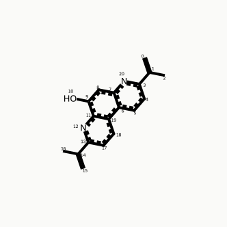 C=C(C)c1ccc2c(cc(O)c3nc(C(=C)C)ccc32)n1